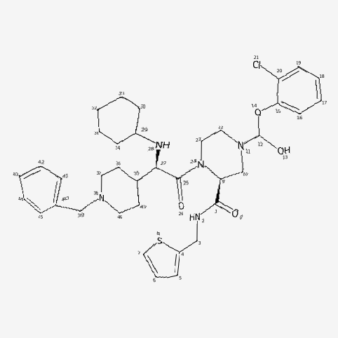 O=C(NCc1cccs1)[C@@H]1CN(C(O)Oc2ccccc2Cl)CCN1C(=O)[C@H](NC1CCCCC1)C1CCN(Cc2ccccc2)CC1